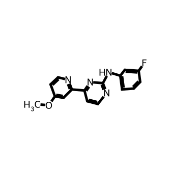 COc1ccnc(-c2ccnc(Nc3cccc(F)c3)n2)c1